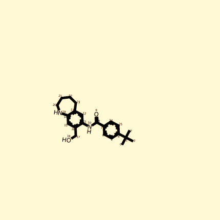 CC(C)(C)c1ccc(C(=O)Nc2cc3c(cc2CO)NCCCC3)cc1